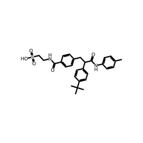 Cc1ccc(NC(=O)C(Cc2ccc(C(=O)NCCS(=O)(=O)O)cc2)c2ccc(C(C)(C)C)cc2)cc1